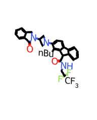 CCCCc1c(N2CC(N3Cc4ccccc4C3=O)C2)ccc2c1C(C(=O)NCC(F)(F)C(F)(F)F)c1ccccc1-2